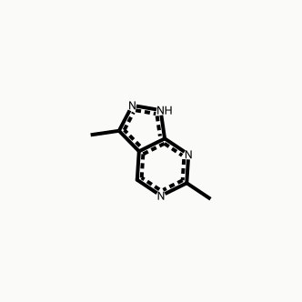 Cc1ncc2c(C)n[nH]c2n1